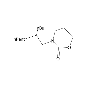 CCCCCC(CCCC)CN1CCCOC1=O